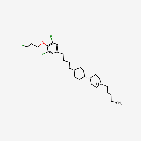 CCCCC[SiH]1CCC([C@H]2CC[C@H](CCCCc3cc(F)c(OCCCCl)c(F)c3)CC2)CC1